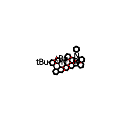 CC(C)(C)c1cc(-c2cccc3cccc(-c4ccccc4N(c4ccccc4-c4ccc5c(c4)c4ccccc4n5-c4ccccc4)c4ccccc4-c4cccc5c4oc4ccccc45)c23)cc(C(C)(C)C)c1